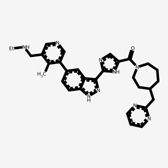 CCNCc1cncc(-c2ccc3[nH]nc(-c4ncc(C(=O)N5CCCC(Cc6ncccn6)CC5)[nH]4)c3c2)c1C